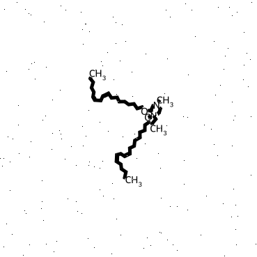 CCCCC/C=C\C/C=C\CCCCCCCCOC1CN(C)CC[N+]1(CCC)OCCCCCCCC/C=C\C/C=C\CCCCC